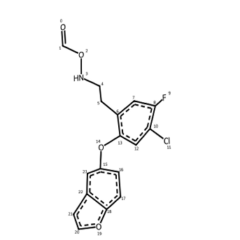 O=CONCCc1cc(F)c(Cl)cc1Oc1ccc2occc2c1